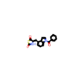 O=C1NC(=Cc2cccc3c2ccn3C(=O)c2ccccc2)C(=O)S1